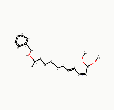 CC(C)OC(/C=C\C=CCCCCCC(C)OCc1ccccc1)OC(C)C